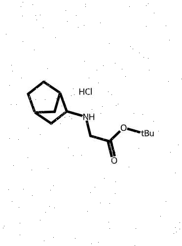 CC(C)(C)OC(=O)CNC1CC2CCC1C2.Cl